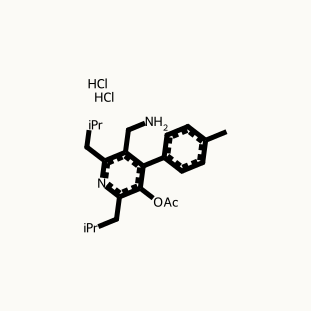 CC(=O)Oc1c(CC(C)C)nc(CC(C)C)c(CN)c1-c1ccc(C)cc1.Cl.Cl